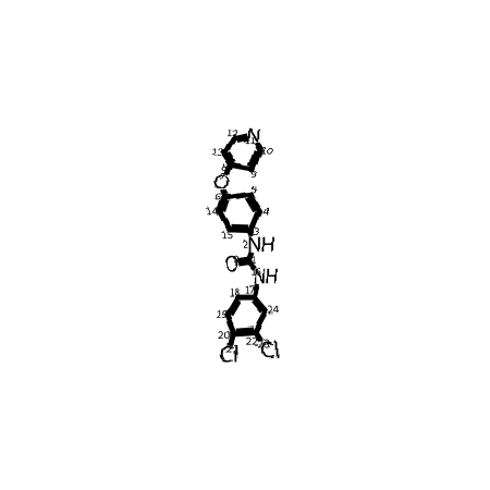 O=C(Nc1ccc(Oc2ccncc2)cc1)Nc1ccc(Cl)c(Cl)c1